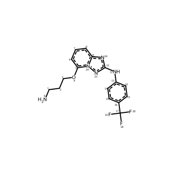 NCCCOc1cccc2nc(Nc3ccc(C(F)(F)F)cc3)nn12